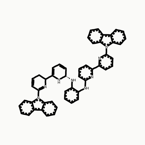 C1=C[C@H](Nc2ccccc2Nc2cccc(-c3cccc(-n4c5ccccc5c5ccccc54)n3)n2)NC(C2CC=CC(n3c4ccccc4c4ccccc43)=N2)=C1